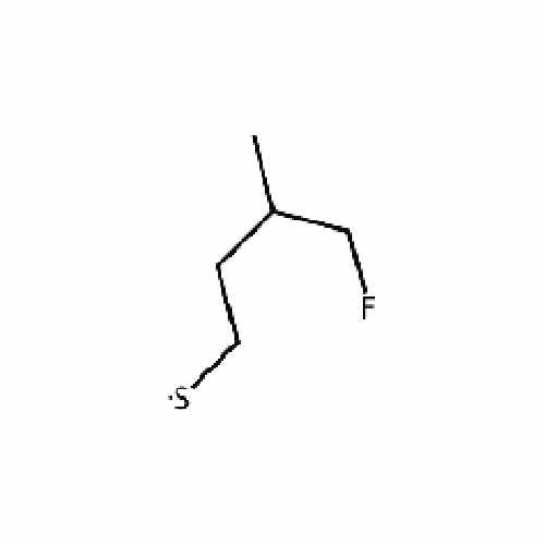 CC(CF)CC[S]